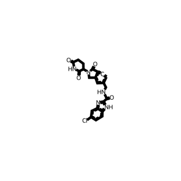 O=C1CCC(N2Cc3cc(CNC(=O)c4nc5cc(Cl)ccc5[nH]4)ccc3C2=O)C(=O)N1